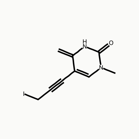 C=C1NC(=O)N(C)C=C1C#CCI